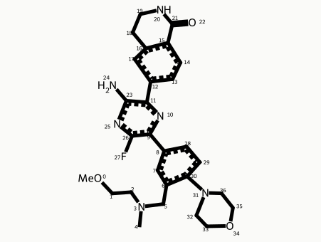 COCCN(C)Cc1cc(-c2nc(-c3ccc4c(c3)CCNC4=O)c(N)nc2F)ccc1N1CCOCC1